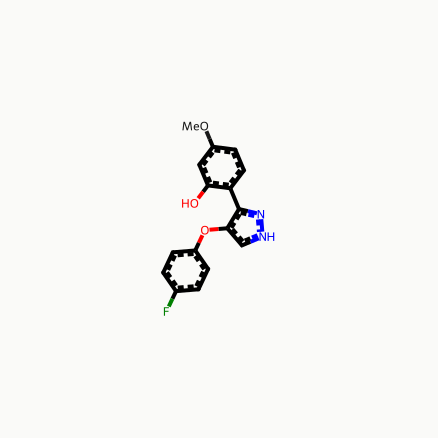 COc1ccc(-c2n[nH]cc2Oc2ccc(F)cc2)c(O)c1